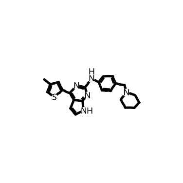 Cc1csc(-c2nc(Nc3ccc(CN4CCCCC4)cc3)nc3[nH]ccc23)c1